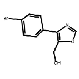 OCc1ocnc1-c1ccc(Br)cc1